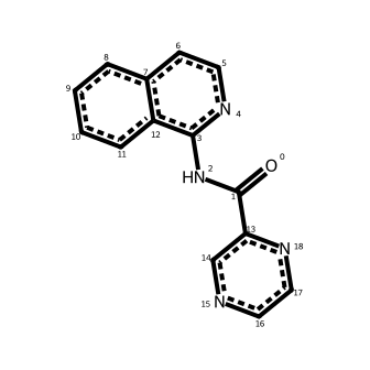 O=C(Nc1nccc2ccccc12)c1cnccn1